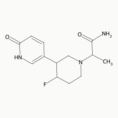 CC(C(N)=O)N1CCC(F)C(c2ccc(=O)[nH]c2)C1